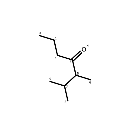 CCCC(=O)C(C)C(C)C